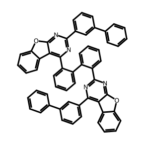 c1ccc(-c2cccc(-c3nc(-c4ccccc4-c4ccccc4-c4nc(-c5cccc(-c6ccccc6)c5)c5c(n4)oc4ccccc45)c4c(n3)oc3ccccc34)c2)cc1